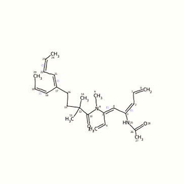 C=C/C=C(\C=C(/C=C)N(C)C(=O)C(C)(C)CCC(/C=C\C)=C/C=C\C)NC(C)=O